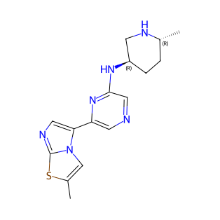 Cc1cn2c(-c3cncc(N[C@@H]4CC[C@@H](C)NC4)n3)cnc2s1